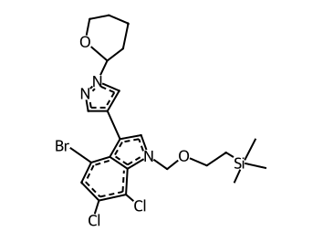 C[Si](C)(C)CCOCn1cc(-c2cnn(C3CCCCO3)c2)c2c(Br)cc(Cl)c(Cl)c21